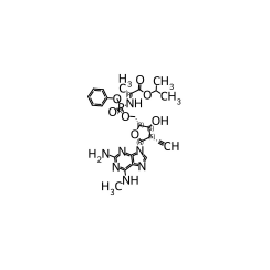 C#C[C@H]1[C@H](O)[C@@H](CO[P@](=O)(N[C@H](C)C(=O)OC(C)C)Oc2ccccc2)O[C@H]1n1cnc2c(NC)nc(N)nc21